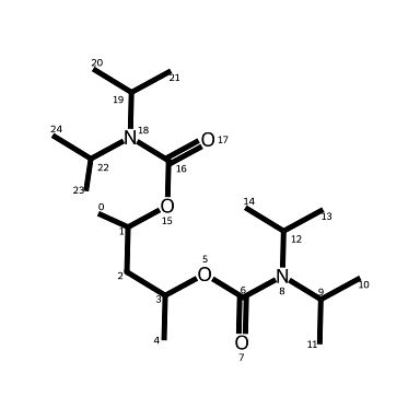 CC(CC(C)OC(=O)N(C(C)C)C(C)C)OC(=O)N(C(C)C)C(C)C